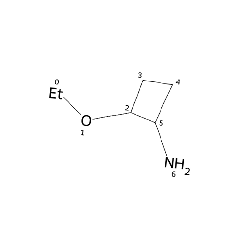 CCOC1CCC1N